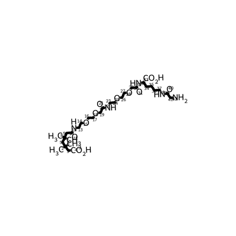 CC(C)(CC(=O)O)CC(C)(C)CC(=O)NCCOCCOCC(=O)NCCOCCOCC(=O)NC(CCCCNC(=O)CN)C(=O)O